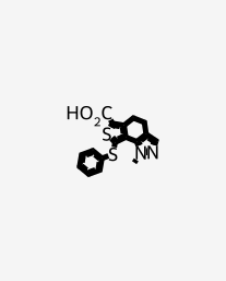 Cn1ncc2c1-c1c(Sc3ccccc3)sc(C(=O)O)c1CC2